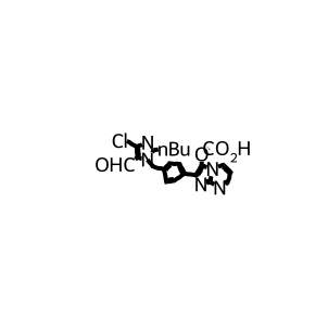 CCCCc1nc(Cl)c(C=O)n1Cc1ccc(-c2nc3ncccn3c2OC(=O)O)cc1